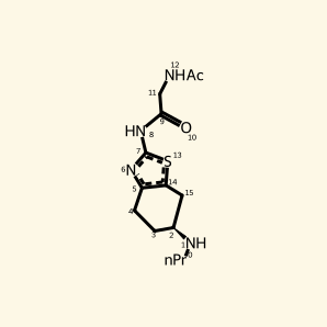 CCCN[C@H]1CCc2nc(NC(=O)CNC(C)=O)sc2C1